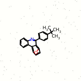 CC(C)(C)c1ccc(-c2nc3ccccc3c3c4ccc(o4)c23)cc1